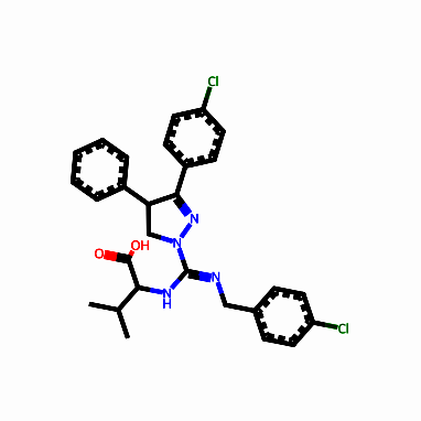 CC(C)C(N/C(=N\Cc1ccc(Cl)cc1)N1CC(c2ccccc2)C(c2ccc(Cl)cc2)=N1)C(=O)O